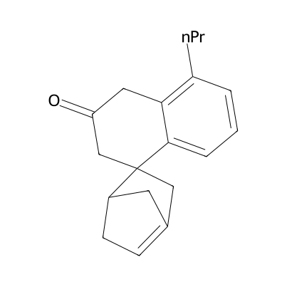 CCCc1cccc2c1CC(=O)CC21CC2=CCC1C2